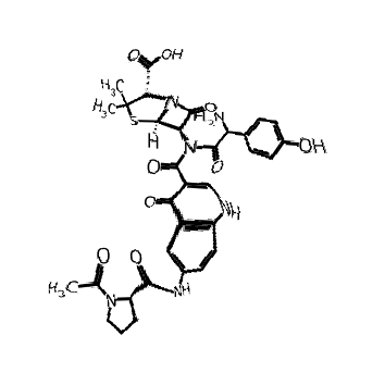 CC(=O)N1CCCC1C(=O)Nc1ccc2[nH]cc(C(=O)N(C(=O)C(N)c3ccc(O)cc3)[C@@H]3C(=O)N4[C@@H]3SC(C)(C)[C@@H]4C(=O)O)c(=O)c2c1